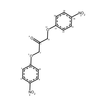 O=C(COc1ccc([N+](=O)[O-])cc1)COc1ccc([N+](=O)[O-])cc1